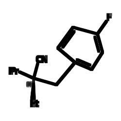 CC[C@@](C#N)(Cc1ccc(F)cc1)C(C)C